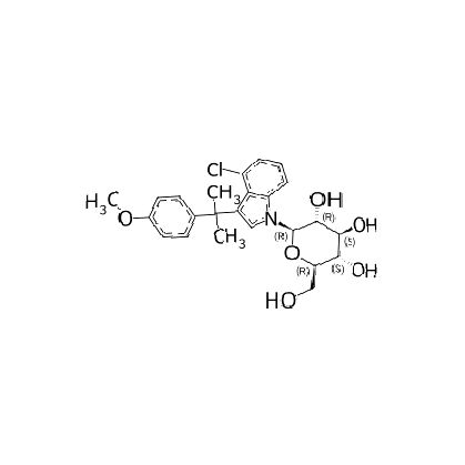 COc1ccc(C(C)(C)c2cn([C@@H]3O[C@H](CO)[C@@H](O)[C@H](O)[C@H]3O)c3cccc(Cl)c23)cc1